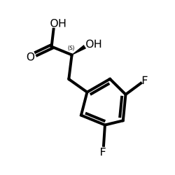 O=C(O)[C@@H](O)Cc1cc(F)cc(F)c1